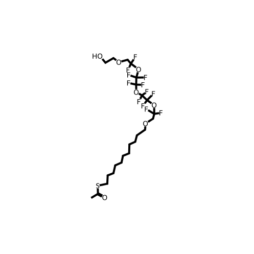 CC(=O)SCCCCCCCCCCCOCC(F)(F)OC(F)(F)C(F)(F)OC(F)(F)C(F)(F)OC(F)(F)COCCO